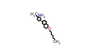 CCCCCCCOC1CCc2cc([C@H]3CC[C@](N)(CC)C3)ccc2C1